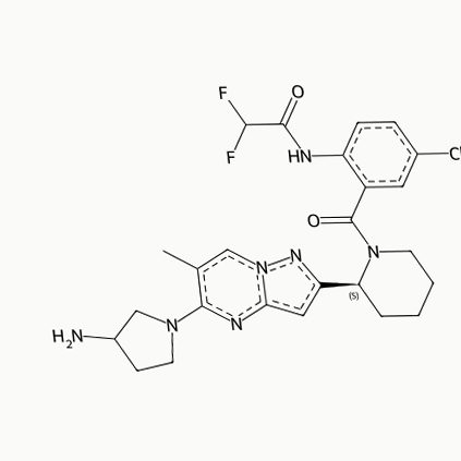 Cc1cn2nc([C@@H]3CCCCN3C(=O)c3cc(Cl)ccc3NC(=O)C(F)F)cc2nc1N1CCC(N)C1